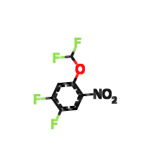 O=[N+]([O-])c1cc(F)c(F)cc1OC(F)F